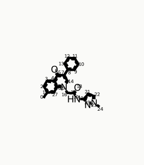 Cc1ccc2c(=O)c(-c3ccccc3)cn(CC(=O)Nc3ccn(C)n3)c2c1